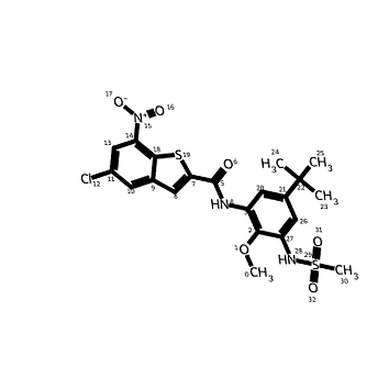 COc1c(NC(=O)c2cc3cc(Cl)cc([N+](=O)[O-])c3s2)cc(C(C)(C)C)cc1NS(C)(=O)=O